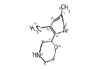 Cc1cnc(C2CNCCO2)c(C)c1